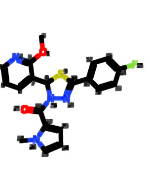 COc1ncccc1C1SC(c2ccc(F)cc2)=NN1C(=O)c1cccn1C